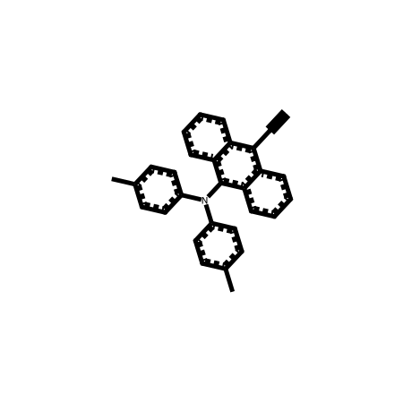 C#Cc1c2ccccc2c(N(c2ccc(C)cc2)c2ccc(C)cc2)c2ccccc12